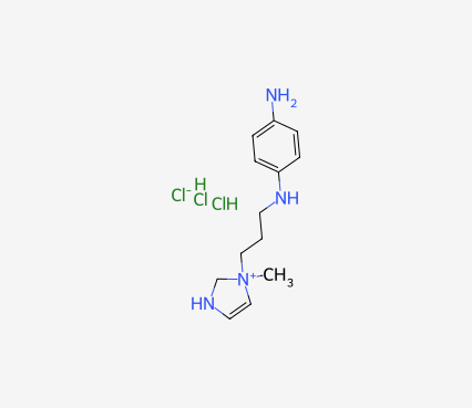 C[N+]1(CCCNc2ccc(N)cc2)C=CNC1.Cl.Cl.[Cl-]